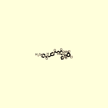 COC(=O)C(CCC(=O)N1CCC(CNC(=O)N2CCN(C)CC2)CC1)NC(=O)[C@H]1CCCN1S(=O)(=O)c1cc(Cl)cc(Cl)c1